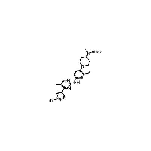 CCCCCCN(C)C1CCN(c2ccc(Nc3ncc(C)c(-c4cnn(C(C)C)c4)n3)cc2F)CC1